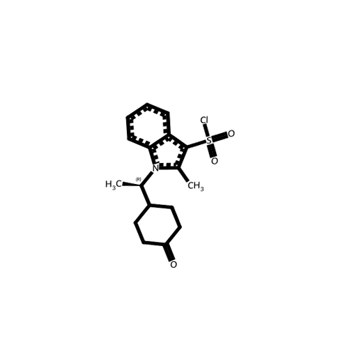 Cc1c(S(=O)(=O)Cl)c2ccccc2n1[C@H](C)C1CCC(=O)CC1